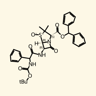 CC(C)(C)OC(=O)NC(C(=O)N[C@@H]1C(=O)N2[C@@H]1[S+]([O-])C(C)(C)[C@@H]2C(=O)OC(c1ccccc1)c1ccccc1)c1ccccc1